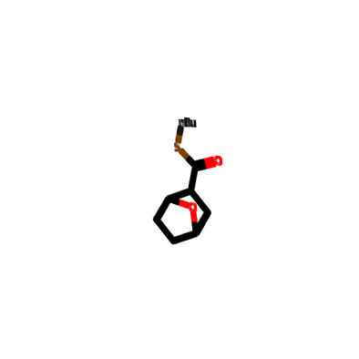 CCCCSC(=O)C1CC2CCC1O2